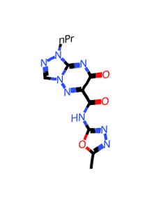 CCCn1ncn2nc(C(=O)Nc3nnc(C)o3)c(=O)nc12